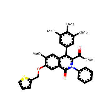 COC(=O)c1c(-c2cc(OC)c(OC)c(OC)c2)c2cc(OC)c(OCc3cccs3)cc2c(=O)n1-c1ccccc1